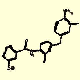 Cc1cc(Cc2ccc(NC(=O)c3cccc(C=O)c3)c(C)c2)ccc1N